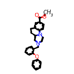 COC(=O)c1ccc2c(c1)CCC1CN(Cc3ccccc3Oc3ccccc3)CCN21